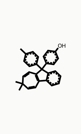 Cc1ccc(C2(c3ccc(O)cc3)C3=C(C=CC(C)(C)C=C3)c3ccccc32)cc1